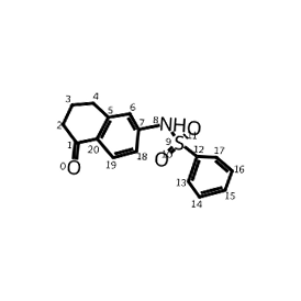 O=C1CCCc2cc(NS(=O)(=O)c3ccccc3)ccc21